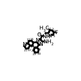 Cc1cc(F)cnc1CNC(=O)c1nc(-c2ccc3ncccc3c2)c(-c2ccccc2)nc1N